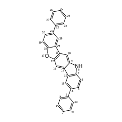 c1ccc(-c2ccc3[nH]c4cc5c(cc4c3c2)oc2ccc(-c3ccccc3)cc25)cc1